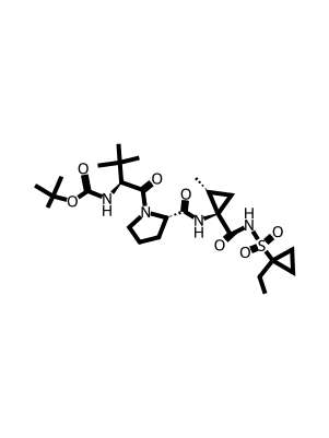 CCC1(S(=O)(=O)NC(=O)[C@@]2(NC(=O)[C@@H]3CCCN3C(=O)[C@@H](NC(=O)OC(C)(C)C)C(C)(C)C)C[C@H]2C)CC1